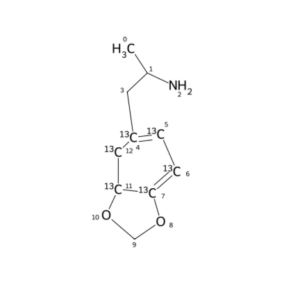 CC(N)C[13C]1=[13CH][13CH]=[13C]2OCO[13CH]2[13CH2]1